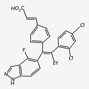 CC/C(=C(/c1ccc(/C=C/C(=O)O)cc1)c1ccc2[nH]ncc2c1F)c1ccc(Cl)cc1Cl